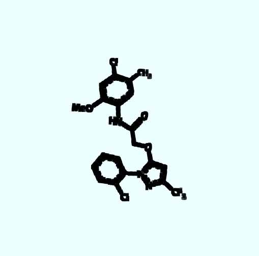 COc1cc(Cl)c(C)cc1NC(=O)COc1cc(C(F)(F)F)nn1-c1ccccc1Cl